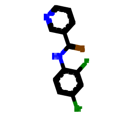 Fc1cc(Br)ccc1NC(=S)c1cccnc1